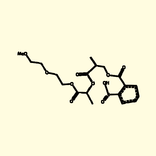 COCCOCCOC(=O)C(C)OC(=O)C(C)COC(=O)c1ccccc1S(=O)O